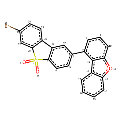 O=S1(=O)c2ccc(-c3cccc4oc5ccccc5c34)cc2-c2ccc(Br)cc21